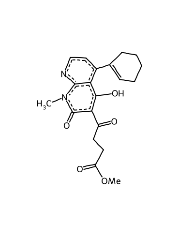 COC(=O)CCC(=O)c1c(O)c2c(C3=CCCCC3)ccnc2n(C)c1=O